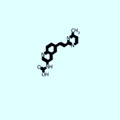 Cc1ccnc(C=Cc2ccc3ncc(NC(=O)O)cc3c2)n1